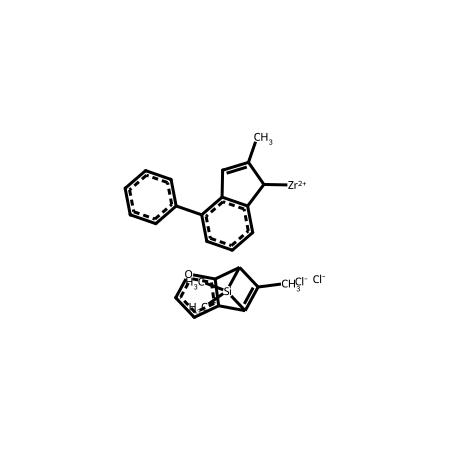 CC1=C2c3ccoc3C1[Si]2(C)C.CC1=Cc2c(-c3ccccc3)cccc2[CH]1[Zr+2].[Cl-].[Cl-]